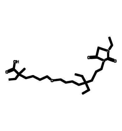 CCN1CC(=O)N(CCCC(CC)(CC)CCCCOCCCCC(C)(CC)C(=O)O)C1=O